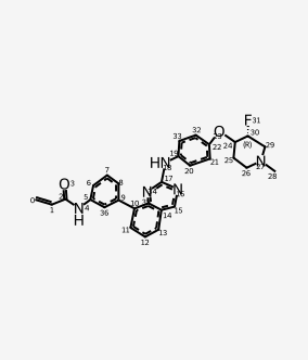 C=CC(=O)Nc1cccc(-c2cccc3cnc(Nc4ccc(OC5CCN(C)C[C@H]5F)cc4)nc23)c1